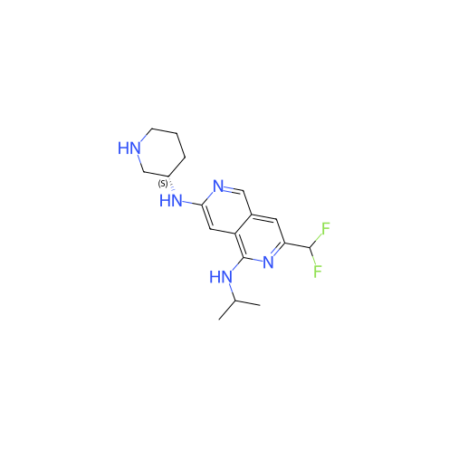 CC(C)Nc1nc(C(F)F)cc2cnc(N[C@H]3CCCNC3)cc12